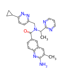 Cc1cc2cc(C(=O)N(Cc3ccc(C4CC4)nn3)C(C)c3ncccn3)ccc2nc1N